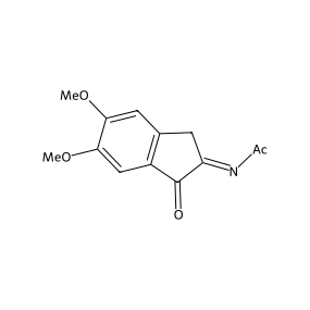 COc1cc2c(cc1OC)C(=O)/C(=N/C(C)=O)C2